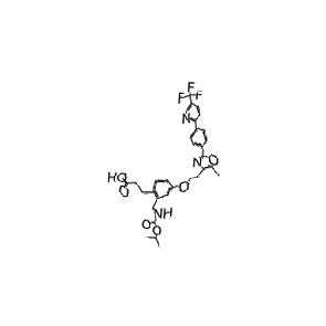 Cc1oc(-c2ccc(-c3ccc(C(F)(F)F)cn3)cc2)nc1CCOc1ccc(CCC(=O)O)c(CNC(=O)OC(C)C)c1